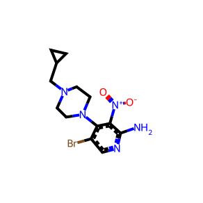 Nc1ncc(Br)c(N2CCN(CC3CC3)CC2)c1[N+](=O)[O-]